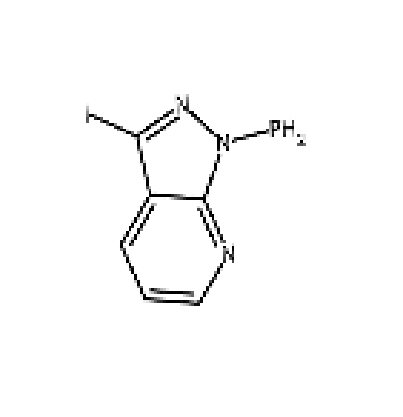 Pn1nc(I)c2cccnc21